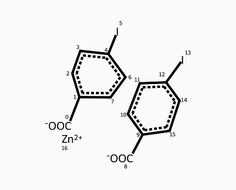 O=C([O-])c1ccc(I)cc1.O=C([O-])c1ccc(I)cc1.[Zn+2]